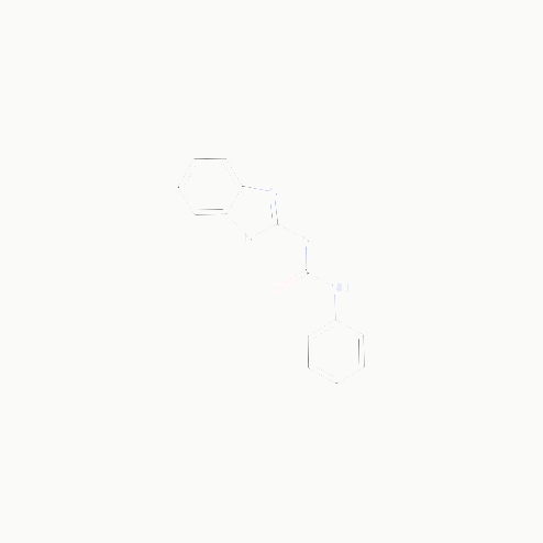 O=C(Nc1ccccc1)Nc1nc2ccccc2[nH]1